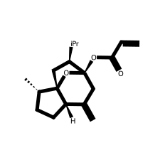 C=CC(=O)O[C@]12CC(=C)[C@@H]3CC[C@H](C)[C@]3(C[C@H]1C(C)C)O2